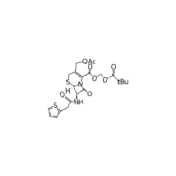 CC(=O)OCC1=C(C(=O)OCOC(=O)C(C)(C)C)N2C(=O)[C@@H](NC(=O)Cc3cccs3)[C@H]2SC1